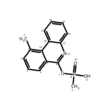 Cc1cccc2c(OP(C)(=O)O)nc3ccccc3c12